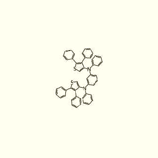 c1ccc(-c2scc(N(c3ccccc3)c3cccc(N(c4ccccc4)c4csc(-c5ccccc5)c4-c4ccccc4)c3)c2-c2ccccc2)cc1